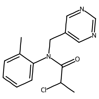 Cc1ccccc1N(Cc1cncnc1)C(=O)C(C)Cl